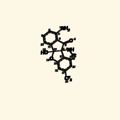 CCNC12C(=O)c3c(N)cccc3C1(O)Oc1cc(C(F)(F)F)ccc12